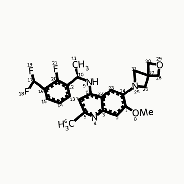 COc1cc2nc(C)cc(N[C@H](C)c3cccc(C(F)F)c3F)c2cc1N1CC2(COC2)C1